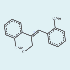 COc1ccccc1/C=C(\CCl)c1ccccc1OC